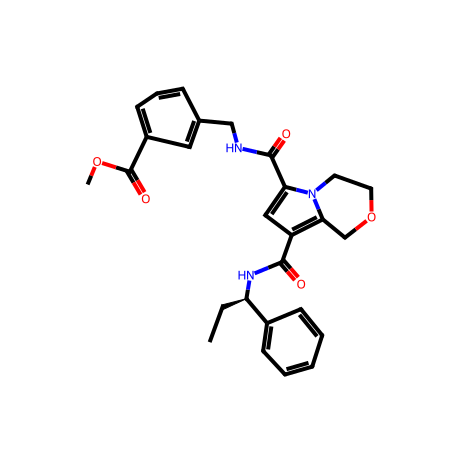 CC[C@@H](NC(=O)c1cc(C(=O)NCc2cccc(C(=O)OC)c2)n2c1COCC2)c1ccccc1